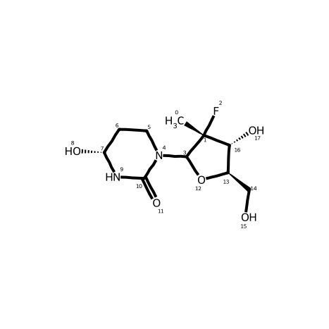 C[C@]1(F)C(N2CC[C@@H](O)NC2=O)O[C@H](CO)[C@H]1O